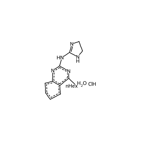 CCCCCCc1nc(NC2=NCCN2)nc2ccccc12.Cl.O